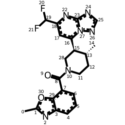 Cc1nc2cccc(C(=O)N3CC[C@@H](C)[C@H](c4cc(C(F)F)nc5ncnn45)C3)c2o1